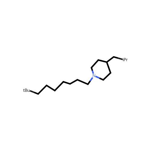 CC(C)CC1CCN(CCCCCCCC(C)(C)C)CC1